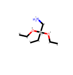 CCO[Si](CC)(CN)OCC